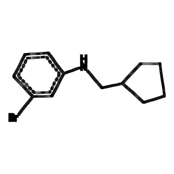 Brc1cccc(NCC2CCCC2)c1